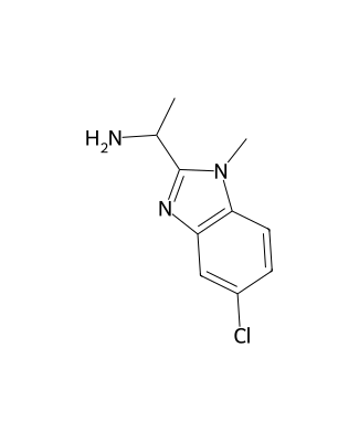 CC(N)c1nc2cc(Cl)ccc2n1C